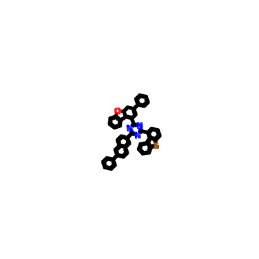 C1=C(c2ccccc2)CC2Oc3ccccc3C2=C1c1nc(-c2ccc3cc(-c4ccccc4)ccc3c2)nc(-c2cccc3sc4ccccc4c23)n1